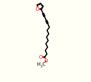 COC(=O)CCCCCCCCCC#CC#Cc1ccco1